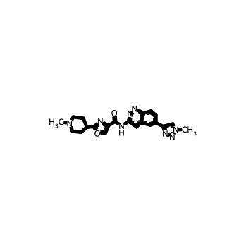 CN1CCC(c2nc(C(=O)Nc3cc4cc(-c5cn(C)nn5)ccc4nn3)co2)CC1